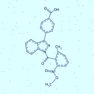 CO[N+](=O)c1cccc(C)c1C(=O)n1nc(-c2ccc(C(=O)O)cc2)c2ccccc21